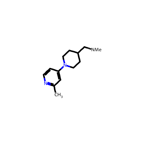 CNCC1CCN(c2ccnc(C)c2)CC1